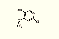 CCC(C)c1ccc(Cl)cc1OC(F)(F)F